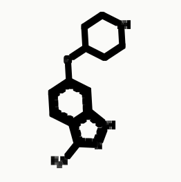 Nc1n[nH]c2cc(OC3CCNCC3)ccc12